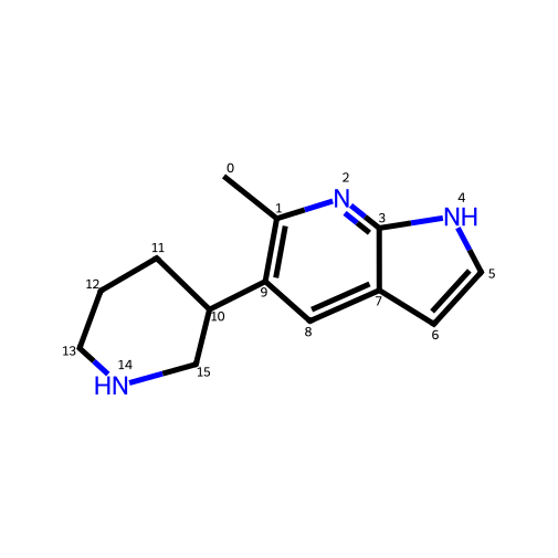 Cc1nc2[nH]ccc2cc1C1CCCNC1